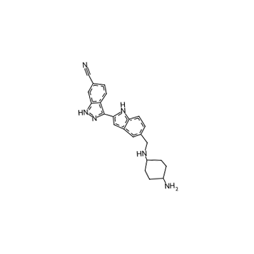 N#Cc1ccc2c(-c3cc4cc(CNC5CCC(N)CC5)ccc4[nH]3)n[nH]c2c1